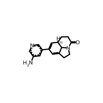 Nc1cncc(C2=C[C@@H]3CCC(=O)N4CCC(=C2)C34)c1